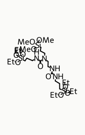 CCO[Si](CCCNC(=O)NCCN(CCC[Si](OC)(OC)OC)C(=O)NCCC[Si](OCC)(OCC)OCC)(OCC)OCC